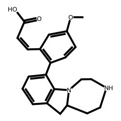 COc1ccc(-c2cccc3c2N2CCNCCC2C3)c(/C=C\C(=O)O)c1